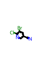 N#Cc1cnc(Cl)c(Br)c1